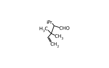 C=CC(C)(C)C(C=O)C(C)C